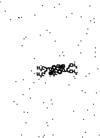 CCCCC(CC)COc1ccc(C)c(-c2c(C)ccc(OCC(CC)CCCC)c2N=C=O)c1N=C=O